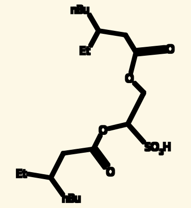 CCCCC(CC)CC(=O)OCC(OC(=O)CC(CC)CCCC)S(=O)(=O)O